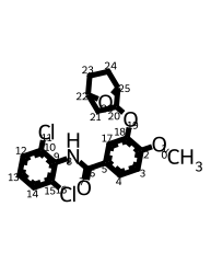 COc1ccc(C(=O)Nc2c(Cl)cccc2Cl)cc1OC1CC2CCC1O2